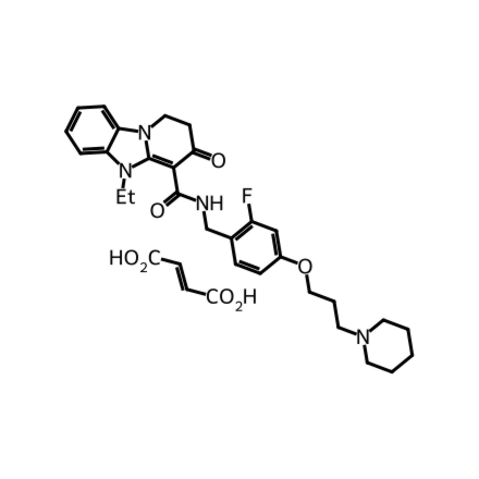 CCN1C2=C(C(=O)NCc3ccc(OCCCN4CCCCC4)cc3F)C(=O)CCN2c2ccccc21.O=C(O)C=CC(=O)O